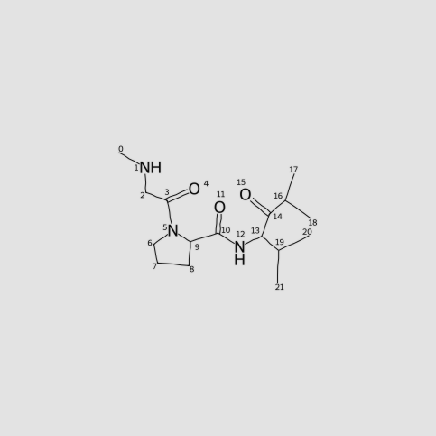 CNCC(=O)N1CCCC1C(=O)NC(C(=O)C(C)C)C(C)C